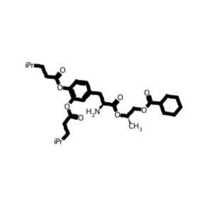 CC(C)CCC(=O)Oc1ccc(C[C@H](N)C(=O)O[C@@H](C)COC(=O)C2CCCCC2)cc1OC(=O)CCC(C)C